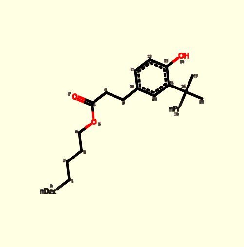 CCCCCCCCCCCCCCOC(=O)CCc1ccc(O)c(C(C)(C)CCC)c1